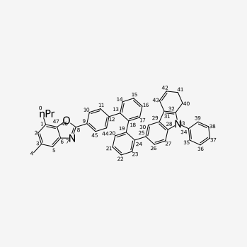 CCCc1cc(C)cc2nc(-c3ccc(-c4ccccc4-c4ccccc4-c4ccc5c(c4)c4c(n5-c5ccccc5)CCC=C4)cc3)oc12